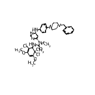 COC1=CC(OC)=C(Cl)C(NC(=O)N(C)c2cc(Nc3ccc(N4CCN(Cc5ccccc5)CC4)cc3)ncn2)C1(C)Cl